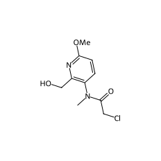 COc1ccc(N(C)C(=O)CCl)c(CO)n1